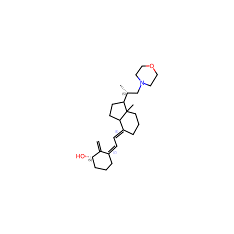 C=C1/C(=C\C=C2/CCCC3(C)C2CCC3[C@H](C)CN2CCOCC2)CCC[C@@H]1O